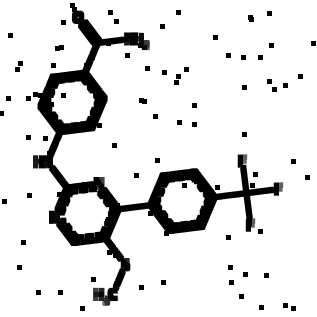 CSc1cnc(Nc2ccc(C(N)=O)cc2)nc1-c1ccc(C(F)(F)F)cc1